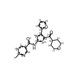 Cc1ncc(C(=O)Nc2nc(-c3ccco3)c(C(=O)C3CCOCC3)s2)cn1